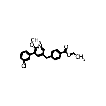 CCOC(=O)c1ccc(Cc2cnc(OC)c(-c3cccc(Cl)c3)c2)cc1